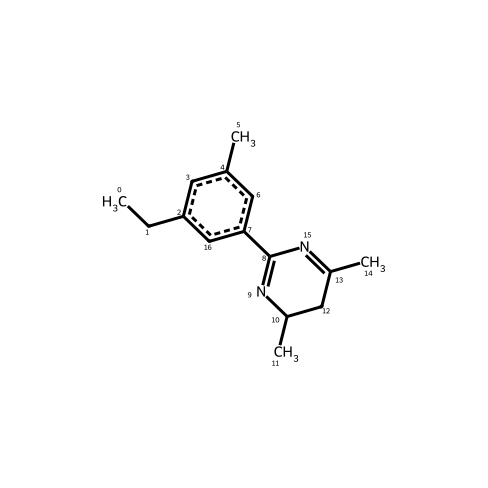 CCc1cc(C)cc(C2=NC(C)CC(C)=N2)c1